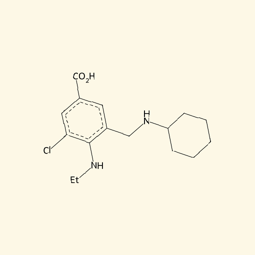 CCNc1c(Cl)cc(C(=O)O)cc1CNC1CCCCC1